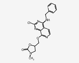 CN1CC(COc2nccc3c(NCc4ccccc4)nc(Cl)nc23)OC1=O